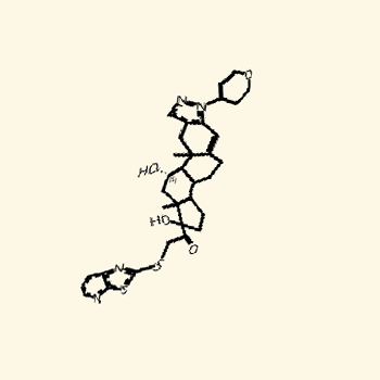 CC12Cc3cnn(C4CCOCC4)c3C=C1CCC1C2[C@@H](O)CC2(C)C1CCC2(O)C(=O)CSc1nc2cccnc2s1